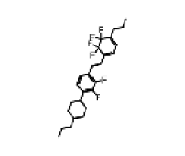 CCCC1=CC=C(CCc2ccc(C3CCC(CCC)CC3)c(F)c2F)C(F)(F)C1(F)F